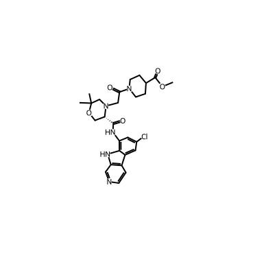 COC(=O)C1CCN(C(=O)CN2CC(C)(C)OC[C@H]2C(=O)Nc2cc(Cl)cc3c2[nH]c2cnccc23)CC1